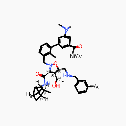 CNC(=O)c1cc(-c2cccc(CN3O[C@@H](CNCc4cccc(C(C)=O)c4)[C@@H]([C@H](C)O)[C@H]3C(=O)N[C@H]3C[C@H]4C[C@@H]([C@@H]3C)C4(C)C)c2C)cc(N(C)C)c1